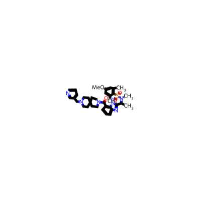 COc1cc(C)c(S(=O)(=O)N(C)C(C)c2nc3cccc(C(=O)N4CCC5(CCN(Cc6cccnc6)CC5)CC4)c3[nH]2)c(C)c1